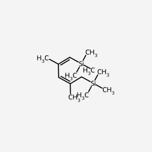 CC(=C[Si](C)(C)C)C=C(C)C[Si](C)(C)C